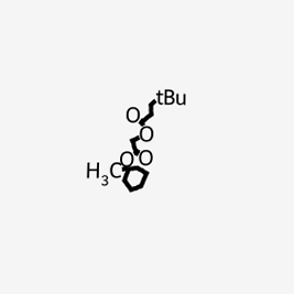 CC(C)(C)CCC(=O)OCC(=O)OC1(C)CCCCC1